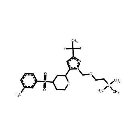 CC(F)(F)c1cc(C2CC(S(=O)(=O)c3cccc(C(F)(F)F)c3)CCO2)n(COCC[Si](C)(C)C)n1